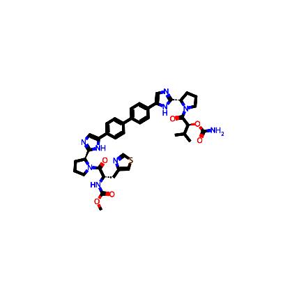 COC(=O)N[C@@H](Cc1cscn1)C(=O)N1CCC[C@H]1c1ncc(-c2ccc(-c3ccc(-c4cnc([C@@H]5CCCN5C(=O)[C@@H](OC(N)=O)C(C)C)[nH]4)cc3)cc2)[nH]1